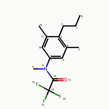 CCCc1c(C)cc(N(C)C(=O)C(F)(F)F)cc1C